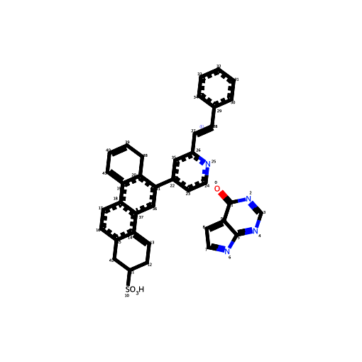 O=C1N=CN=C2N=CC=C12.O=S(=O)(O)C1CC=c2c(ccc3c4c(c(-c5ccnc(/C=C/c6ccccc6)c5)cc23)CC=CC=4)C1